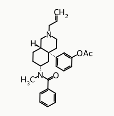 C=CCN1CC[C@@]2(c3cccc(OC(C)=O)c3)C[C@H](N(C)C(=O)c3ccccc3)CC[C@@H]2C1